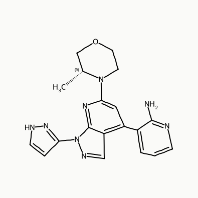 C[C@@H]1COCCN1c1cc(-c2cccnc2N)c2cnn(-c3cc[nH]n3)c2n1